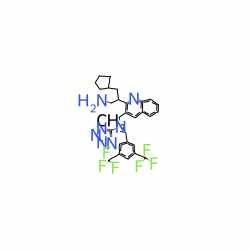 Cn1nnnc1N(Cc1cc(C(F)(F)F)cc(C(F)(F)F)c1)Cc1cc2ccccc2nc1C(CN)CC1CCCC1